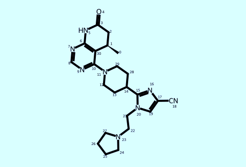 C[C@@H]1CC(=O)Nc2ncnc(N3CCC(c4nc(C#N)cn4CCN4CCCC4)CC3)c21